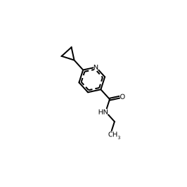 CCNC(=O)c1ccc(C2CC2)nc1